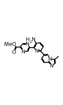 COC(=O)c1cnc(-c2nc(-c3ccc4ncc(C)n4c3)ccc2N)cn1